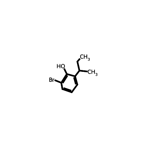 CCC(C)c1cccc(Br)c1O